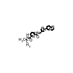 CC(C)NC(=O)c1cccc(C(=O)NCc2cnn(-c3ccc4nccn4c3)c2)n1